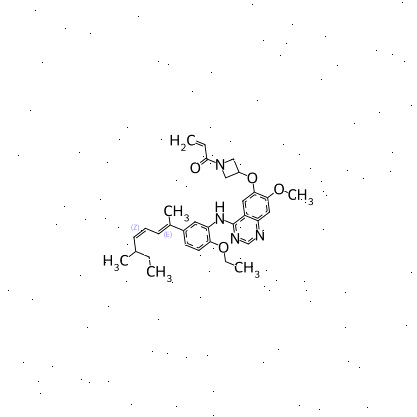 C=CC(=O)N1CC(Oc2cc3c(Nc4cc(/C(C)=C/C=C\C(C)CC)ccc4OCC)ncnc3cc2OC)C1